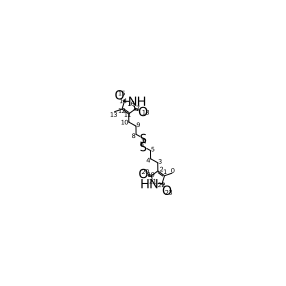 CC1=C(CCCSSCCCC2=C(C)C(=O)NC2=O)C(=O)NC1=O